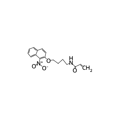 C=CC(=O)NCCCCOc1ccc2ccccc2c1[N+](=O)[O-]